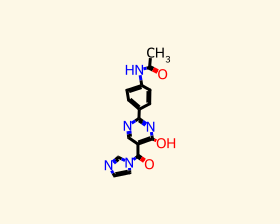 CC(=O)Nc1ccc(-c2ncc(C(=O)n3ccnc3)c(O)n2)cc1